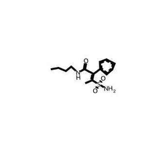 CCCCNC(=O)C(=C(C)S(N)(=O)=O)c1ccccc1